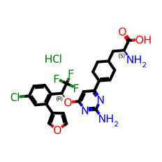 Cl.Nc1nc(O[C@H](c2ccc(Cl)cc2-c2ccoc2)C(F)(F)F)cc(C2=CCC(C[C@H](N)C(=O)O)CC2)n1